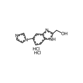 Cl.Cl.OCc1nc2cc(-n3ccnc3)ccc2[nH]1